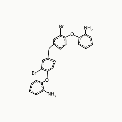 Nc1ccccc1Oc1ccc(Cc2ccc(Oc3ccccc3N)c(Br)c2)cc1Br